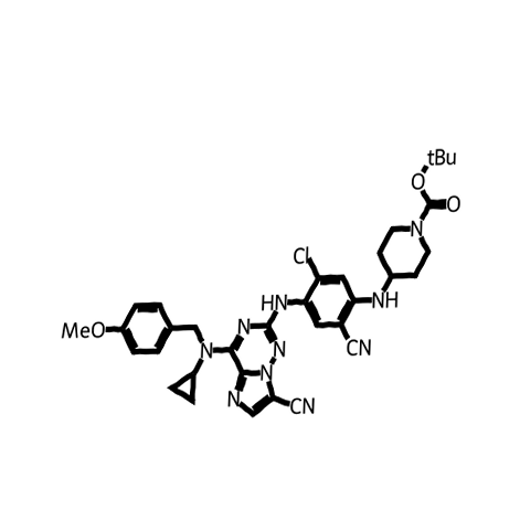 COc1ccc(CN(c2nc(Nc3cc(C#N)c(NC4CCN(C(=O)OC(C)(C)C)CC4)cc3Cl)nn3c(C#N)cnc23)C2CC2)cc1